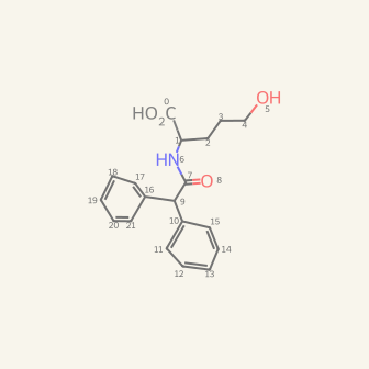 O=C(O)C(CCCO)NC(=O)C(c1ccccc1)c1ccccc1